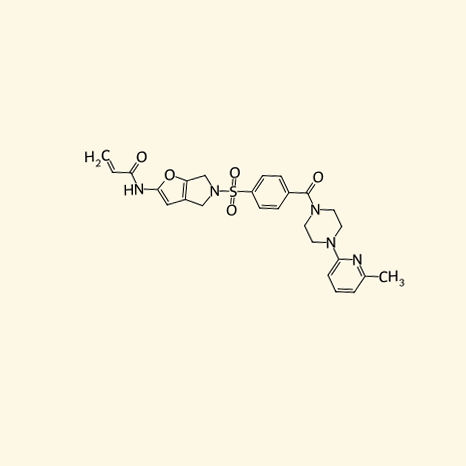 C=CC(=O)Nc1cc2c(o1)CN(S(=O)(=O)c1ccc(C(=O)N3CCN(c4cccc(C)n4)CC3)cc1)C2